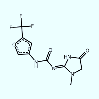 CN1CC(=O)NC1=NC(=O)Nc1coc(C(F)(F)F)c1